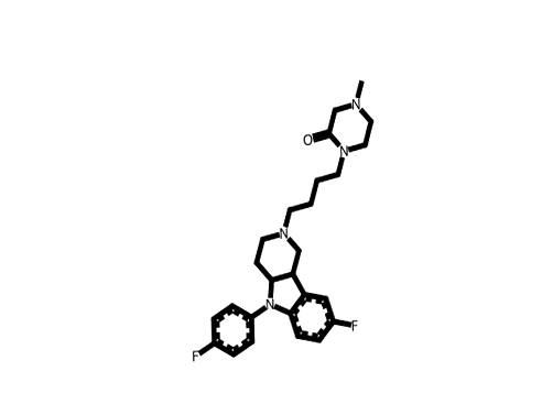 CN1CCN(CCCCN2CCC3C(C2)c2cc(F)ccc2N3c2ccc(F)cc2)C(=O)C1